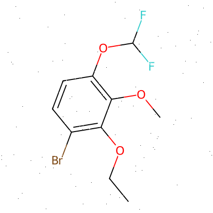 CCOc1c(Br)ccc(OC(F)F)c1OC